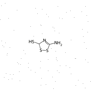 NC1=NC(S)SS1